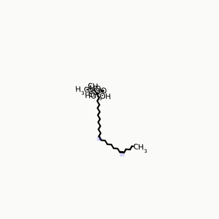 CCCC/C=C\CCCCC/C=C\CCCCCCCCCCCC(O)(C[N+](C)(C)C)P(=O)(O)O